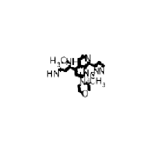 CN/C(=C\C=N)c1cc(N2CCOC[C@H]2C)nc2c(-c3ccnn3C)nccc12